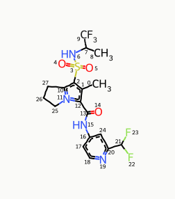 Cc1c(S(=O)(=O)NC(C)C(F)(F)F)c2n(c1C(=O)Nc1ccnc(C(F)F)c1)CCC2